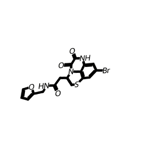 O=C(CC1CSc2cc(Br)cc3[nH]c(=O)c(=O)n1c23)NCc1ccco1